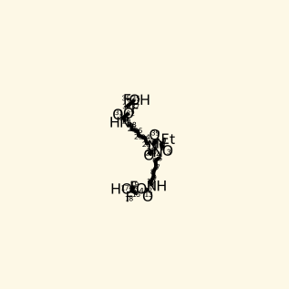 CCn1c(=O)n(CCCCCCNC(=O)OCC(O)(F)F)c(=O)n(CCCCCCNC(=O)OCC(O)(F)F)c1=O